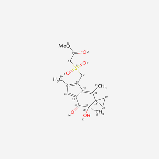 COC(=O)CS(=O)(=O)CC1=C(C)C=C2C(=O)[C@](C)(O)C3(CC3)C(C)=C21